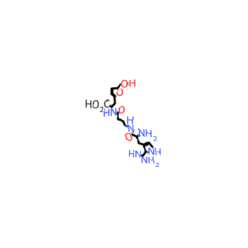 N=C(N)C1NCC=C1CC(N)C(=O)NCCCC(=O)NC(Cc1ccc(CO)o1)C(=O)O